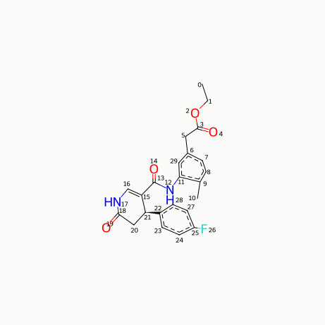 CCOC(=O)Cc1ccc(C)c(NC(=O)C2=CNC(=O)C[C@@H]2c2ccc(F)cc2)c1